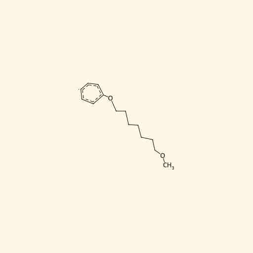 COCCCCCCCOc1cc[c]cc1